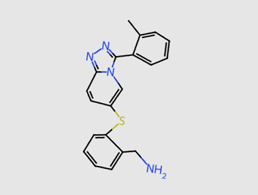 Cc1ccccc1-c1nnc2ccc(Sc3ccccc3CN)cn12